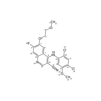 COCCOc1cc2c(Nc3cc(OC)c(Cl)cc3Cl)c(C#N)cnc2cc1F